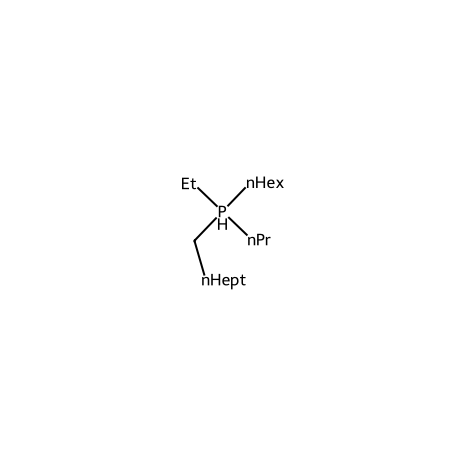 CCCCCCCC[PH](CC)(CCC)CCCCCC